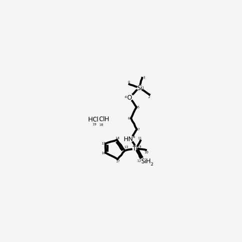 C[Si](C)(C)OCCC[NH][Ti]([CH3])([CH3])(=[SiH2])[C]1=CC=CC1.Cl.Cl